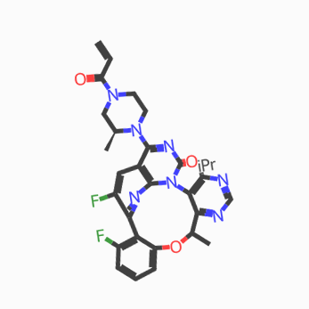 C=CC(=O)N1CCN(c2nc(=O)n3c4nc(c(F)cc24)-c2c(F)cccc2OC(C)c2ncnc(C(C)C)c2-3)[C@@H](C)C1